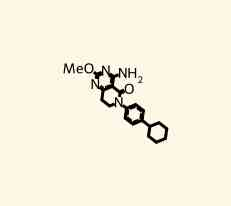 COc1nc(N)c2c(n1)CCN(c1ccc(C3CCCCC3)cc1)C2=O